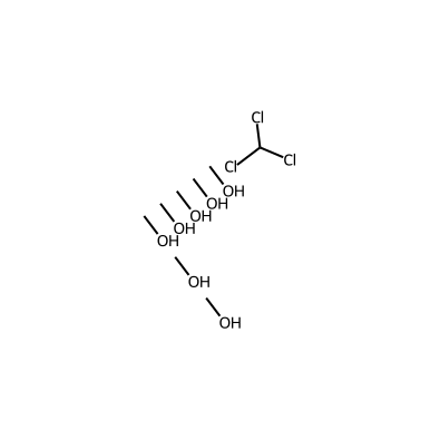 CO.CO.CO.CO.CO.CO.CO.ClC(Cl)Cl